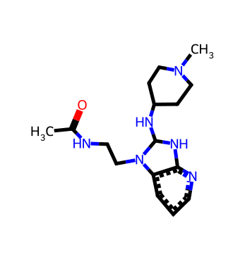 CC(=O)NCCN1c2cccnc2NC1NC1CCN(C)CC1